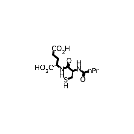 CCCC(=O)N[C@@H](CS)C(=O)N[C@@H](CCC(=O)O)C(=O)O